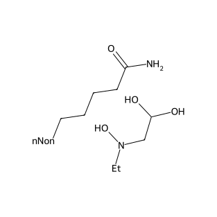 CCCCCCCCCCCCCC(N)=O.CCN(O)CC(O)O